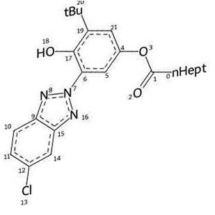 CCCCCCCC(=O)Oc1cc(-n2nc3ccc(Cl)cc3n2)c(O)c(C(C)(C)C)c1